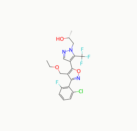 CCOCc1c(-c2c(F)cccc2Cl)noc1-c1cnn(C[C@@H](C)O)c1C(F)(F)F